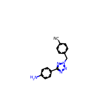 N#Cc1ccc(Cn2nnc(-c3ccc(N)cc3)n2)cc1